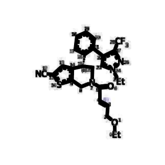 CCOC/C=C/C(=O)N1Cc2sc(C#N)cc2[C@H](c2ccccc2-c2cn(CC)nc2C(F)(F)F)C1